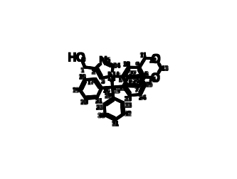 OCC1=C[N+](c2ccc3c(c2)COCO3)(C(c2ccccc2)(c2ccccc2)c2ccccc2)C=N1